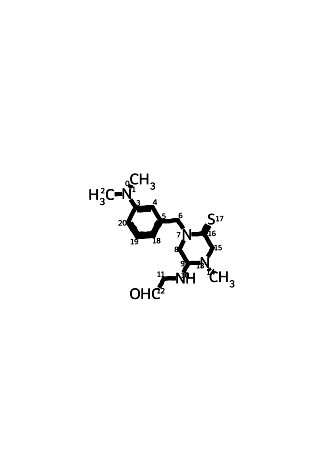 CN(C)C1=CC(CN2CC(NCC=O)N(C)CC2=S)=C=C=C1